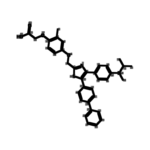 Cc1cc(OCc2nc(-c3ccc(N(C)C(C)C)cc3)c(-c3ccc(-c4ccccc4)cc3)s2)ccc1OCC(=O)O